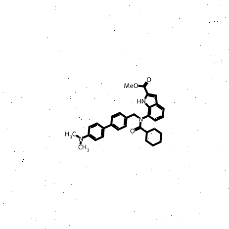 COC(=O)c1cc2cccc(N(Cc3ccc(-c4ccc(N(C)C)cc4)cc3)C(=O)C3CCCCC3)c2[nH]1